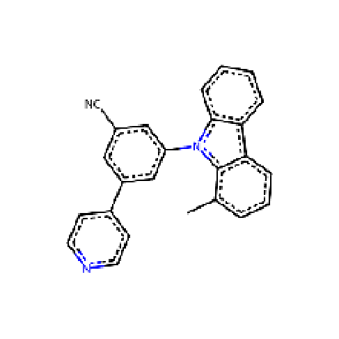 Cc1cccc2c3ccccc3n(-c3cc(C#N)cc(-c4ccncc4)c3)c12